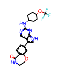 O=C1NCCOc2cc(-c3c[nH]c4nc(N[C@H]5CC[C@@H](OC(F)(F)F)CC5)ncc34)ccc21